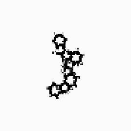 c1ccc2c(c1)nc1n2c2cccc3c2n1c1nc2c4c(ccc2n31)oc1ccccc14